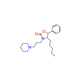 CCCCCC1C(c2ccccc2)OC(=O)N1CCCN1CCCCC1